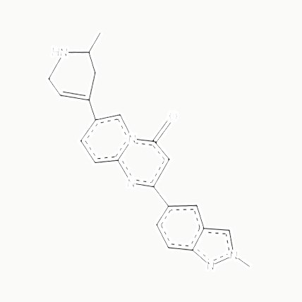 CC1CC(c2ccc3nc(-c4ccc5nn(C)cc5c4)cc(=O)n3c2)=CCN1